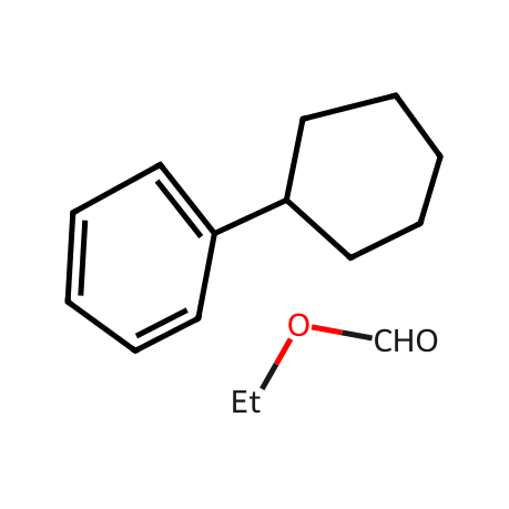 CCOC=O.c1ccc(C2CCCCC2)cc1